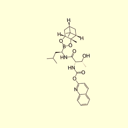 CC(C)C[C@H](NC(=O)[C@@H](NC(=O)Oc1ccc2ccccc2n1)[C@@H](C)O)B1O[C@@H]2C[C@@H]3C[C@@H](C3(C)C)[C@]2(C)O1